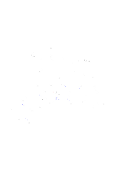 COC(=O)C1=C(C)N(c2cccc(C(F)(F)F)c2)c2n[nH]c(=O)n2[C@@H]1c1ccc(C#N)cc1CC[N+](C)(C)Cc1ncon1.[Cl-]